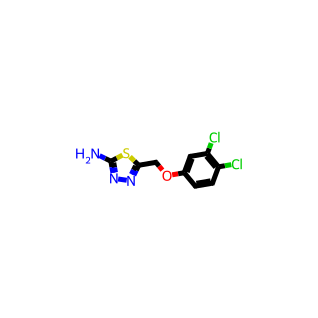 Nc1nnc(COc2ccc(Cl)c(Cl)c2)s1